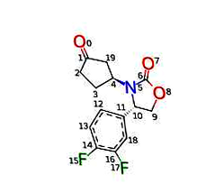 O=C1CC[C@H](N2C(=O)OC[C@@H]2c2ccc(F)c(F)c2)C1